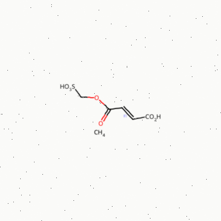 C.O=C(O)/C=C/C(=O)OCS(=O)(=O)O